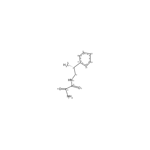 C[C@@H](CNC(=O)C(N)=O)c1ccccc1